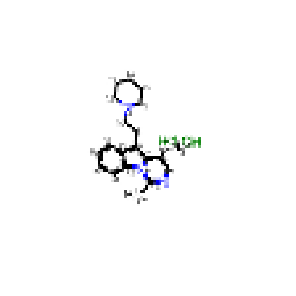 Cc1cnc(C)n2c1c(CCN1CCCCC1)c1ccccc12.Cl.Cl